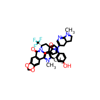 Cc1c(C(=O)N(C2=CN=C3C(CCN3C)C2)c2ccc(O)cc2)cc(-c2cc3c(cc2C(=O)N2Cc4ccccc4C[C@H]2C(F)(F)F)OCO3)n1C